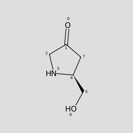 O=C1CN[C@H](CO)C1